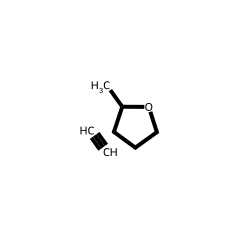 C#C.CC1CCCO1